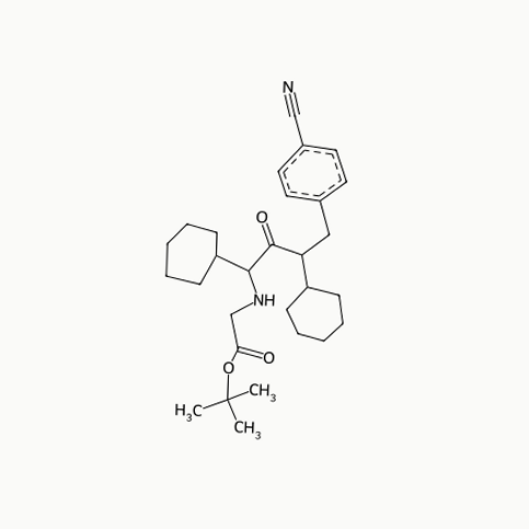 CC(C)(C)OC(=O)CNC(C(=O)C(Cc1ccc(C#N)cc1)C1CCCCC1)C1CCCCC1